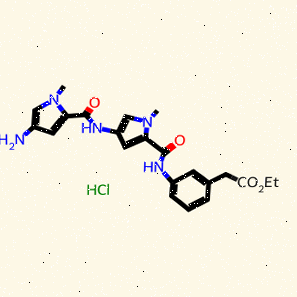 CCOC(=O)Cc1cccc(NC(=O)c2cc(NC(=O)c3cc(N)cn3C)cn2C)c1.Cl